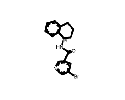 O=C(N[C@@H]1CCCc2ccccc21)c1cncc(Br)c1